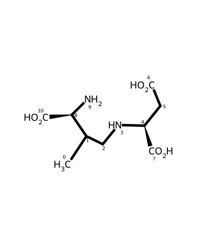 CC(CN[C@@H](CC(=O)O)C(=O)O)[C@H](N)C(=O)O